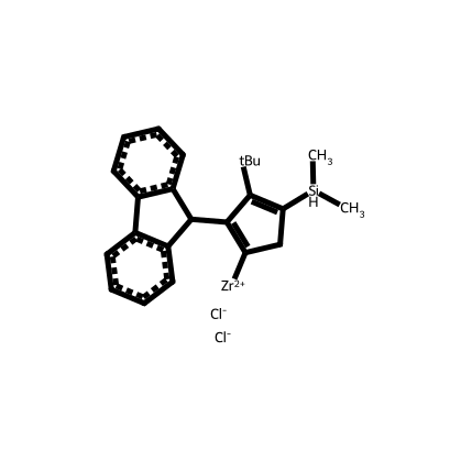 C[SiH](C)C1=C(C(C)(C)C)C(C2c3ccccc3-c3ccccc32)=[C]([Zr+2])C1.[Cl-].[Cl-]